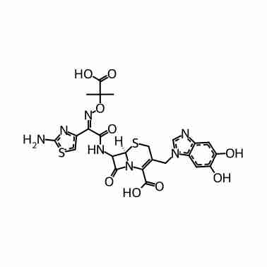 CC(C)(O/N=C(\C(=O)NC1C(=O)N2C(C(=O)O)=C(Cn3cnc4cc(O)c(O)cc43)CS[C@H]12)c1csc(N)n1)C(=O)O